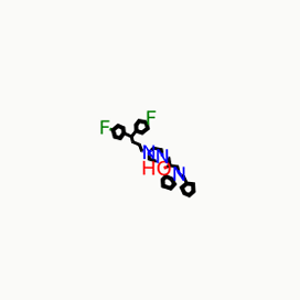 OC(CN1CCN(CCCC(c2ccc(F)cc2)c2ccc(F)cc2)CC1)CN(Cc1ccccc1)c1ccccc1